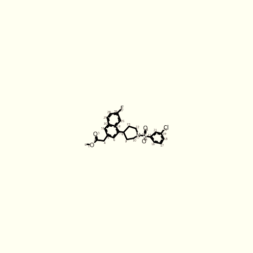 COC(=O)Cc1cc(C2CCN(S(=O)(=O)c3cccc(Cl)c3)CC2)c2cc(F)ccc2c1